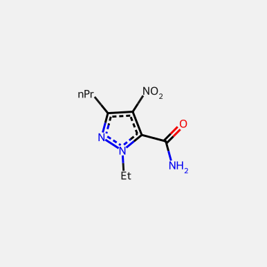 CCCc1nn(CC)c(C(N)=O)c1[N+](=O)[O-]